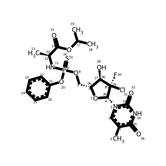 Cc1cn([C@@H]2O[C@H](COP(=S)(N[C@@H](C)C(=O)OC(C)C)Oc3ccccc3)[C@@H](O)[C@@]2(F)Cl)c(=O)[nH]c1=O